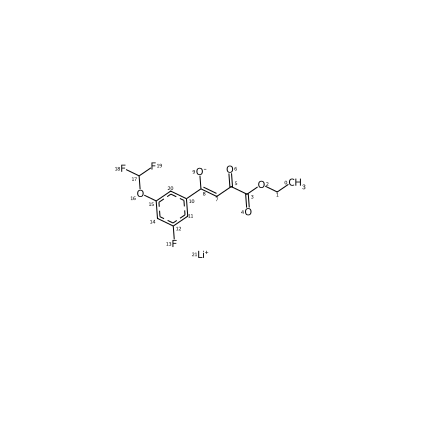 CCOC(=O)C(=O)C=C([O-])c1cc(F)cc(OC(F)F)c1.[Li+]